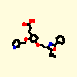 Cc1oc(-c2ccccc2)nc1CCOc1ccc(CCC(=O)O)c(OCc2cccnc2)c1